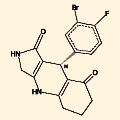 O=C1CCCC2=C1[C@@H](c1ccc(F)c(Br)c1)C1=C(CNC1=O)N2